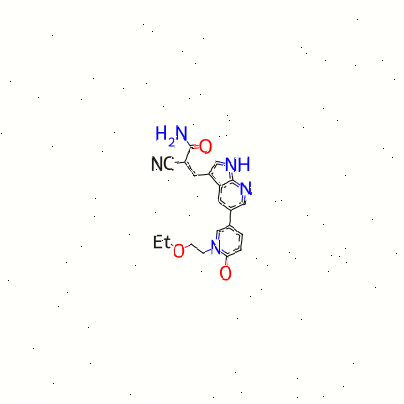 CCOCCn1cc(-c2cnc3[nH]cc(C=C(C#N)C(N)=O)c3c2)ccc1=O